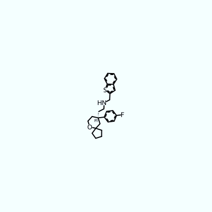 Fc1ccc([C@]2(CCNCc3cc4ccccc4s3)CCOC3(CCCC3)C2)cc1